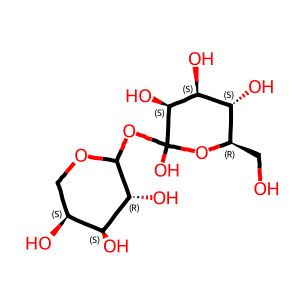 OC[C@H]1OC(O)(OC2OC[C@H](O)[C@H](O)[C@H]2O)[C@@H](O)[C@@H](O)[C@@H]1O